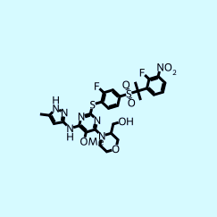 COc1c(Nc2cc(C)[nH]n2)nc(Sc2ccc(S(=O)(=O)C(C)(C)c3cccc([N+](=O)[O-])c3F)cc2F)nc1N1CCOCC1CO